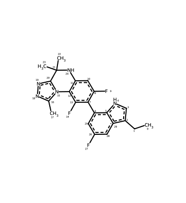 CCc1c[nH]c2c(-c3c(F)cc4c(c3F)-n3c(C)nnc3C(C)(C)N4)cc(F)cc12